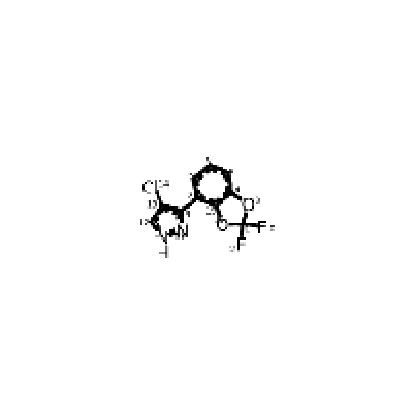 FC1(F)Oc2cccc(-c3n[nH]cc3Cl)c2O1